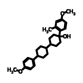 COc1ccc(C2CCC(C3CCC(O)(c4ccc(OC)cc4C)CC3)CC2)cc1